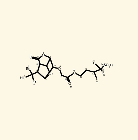 CCC(O)(CC)C1C2OC3C(OC(=O)C31)C2OCC(=O)OCCC(F)C(F)(F)S(=O)(=O)O